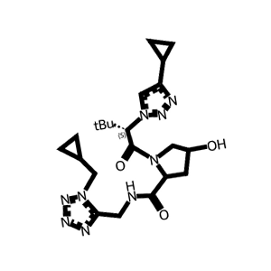 CC(C)(C)[C@@H](C(=O)N1CC(O)CC1C(=O)NCc1nnnn1CC1CC1)n1cc(C2CC2)nn1